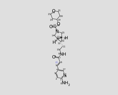 Nc1ccc(/C=C/C(=O)NCC[C@@H]2[C@H]3CN(C(=O)OC4CCOCC4)C[C@@H]23)cn1